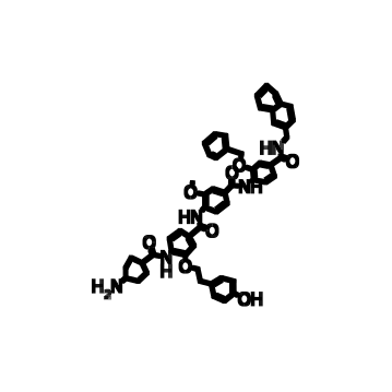 COc1cc(C(=O)Nc2ccc(C(=O)NCc3ccc4ccccc4c3)cc2OCc2ccccc2)ccc1NC(=O)c1ccc(NC(=O)C2CCC(N)CC2)c(OCCc2ccc(O)cc2)c1